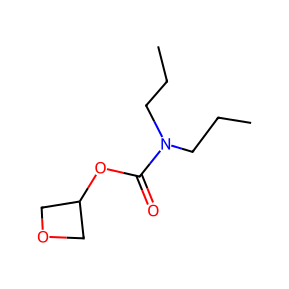 CCCN(CCC)C(=O)OC1COC1